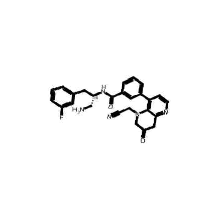 N#CCN1CC(=O)Cc2nccc(-c3cccc(C(=O)N[C@H](CN)Cc4cccc(F)c4)c3)c21